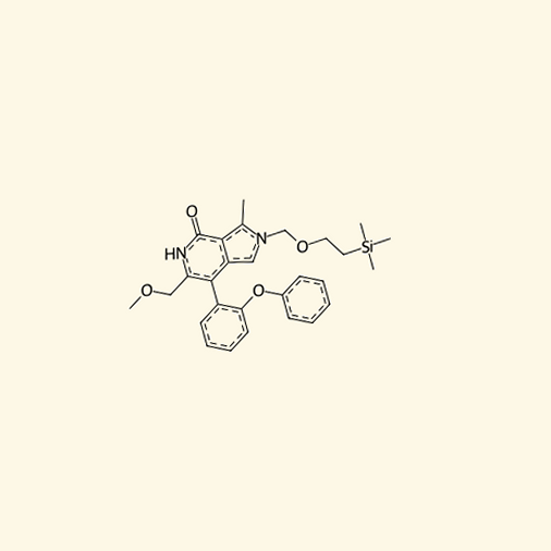 COCc1[nH]c(=O)c2c(C)n(COCC[Si](C)(C)C)cc2c1-c1ccccc1Oc1ccccc1